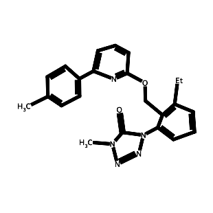 CCc1cccc(-n2nnn(C)c2=O)c1COc1cccc(-c2ccc(C)cc2)n1